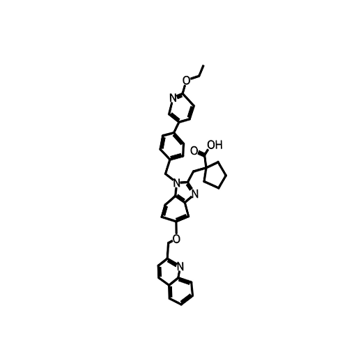 CCOc1ccc(-c2ccc(Cn3c(CC4(C(=O)O)CCCC4)nc4cc(OCc5ccc6ccccc6n5)ccc43)cc2)cn1